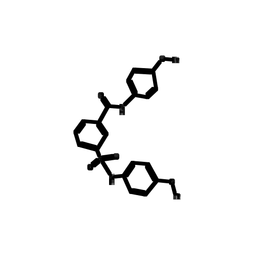 CCOc1ccc(NC(=O)c2cccc(S(=O)(=O)Nc3ccc(OCC)cc3)c2)cc1